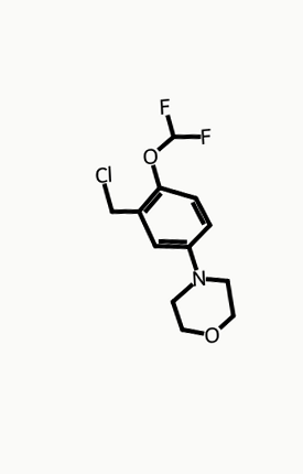 FC(F)Oc1ccc(N2CCOCC2)cc1CCl